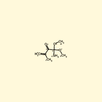 C=C(C)C(=O)C([SiH3])(OC)OC